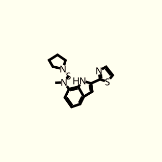 CN(SN1CCCC1)c1cccc2cc(-c3nccs3)[nH]c12